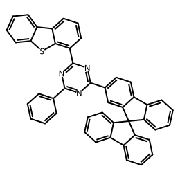 c1ccc(-c2nc(-c3ccc4c(c3)C3(c5ccccc5-c5ccccc53)c3ccccc3-4)nc(-c3cccc4c3sc3ccccc34)n2)cc1